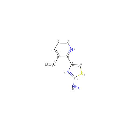 CCOC(=O)c1cccnc1-c1csc(N)n1